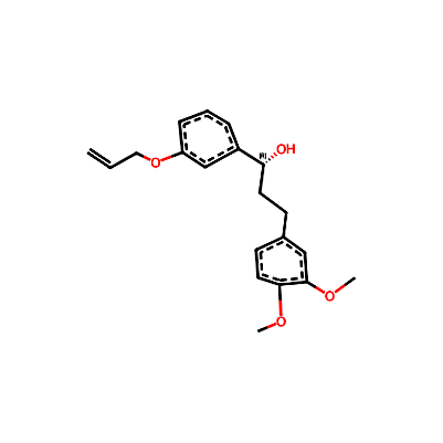 C=CCOc1cccc([C@H](O)CCc2ccc(OC)c(OC)c2)c1